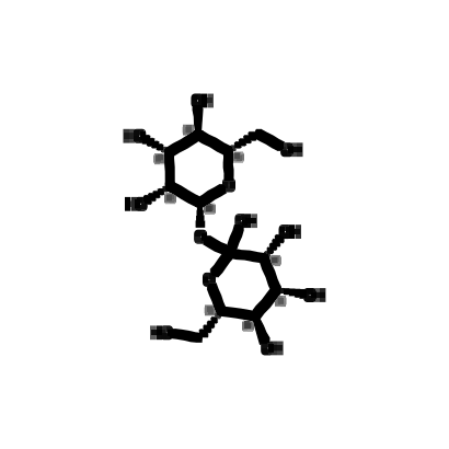 OC[C@@H]1O[C@H](OC2(O)O[C@@H](CO)[C@H](O)[C@@H](O)[C@H]2O)[C@H](O)[C@H](O)[C@H]1O